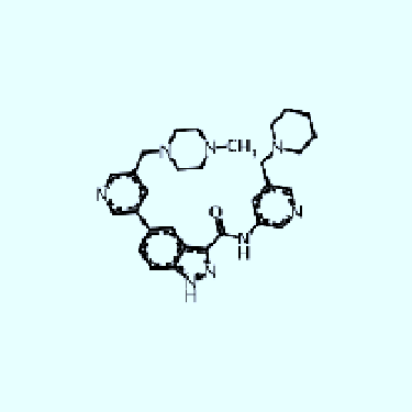 CN1CCN(Cc2cncc(-c3ccc4[nH]nc(C(=O)Nc5cncc(CN6CCCCC6)c5)c4c3)c2)CC1